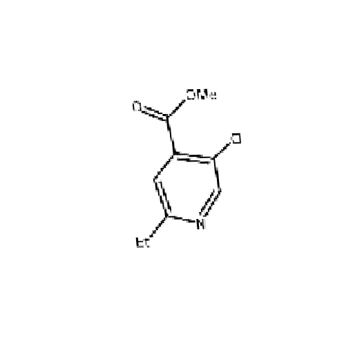 CCc1cc(C(=O)OC)c(Cl)cn1